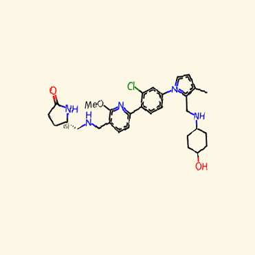 COc1nc(-c2ccc(-n3ccc(C)c3CNC3CCC(O)CC3)cc2Cl)ccc1CNC[C@@H]1CCC(=O)N1